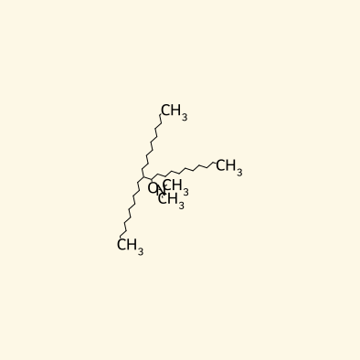 CCCCCCCCCCC(CCCCCCCCCC)C(CCCCCCCCCC)ON(C)C